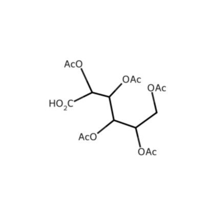 CC(=O)OCC(OC(C)=O)C(OC(C)=O)C(OC(C)=O)C(OC(C)=O)C(=O)O